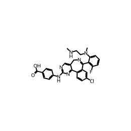 CNCCN(C)c1cccc(F)c1C1=NCc2cnc(Nc3ccc(C(=O)O)cc3)nc2-c2ccc(Cl)cc21